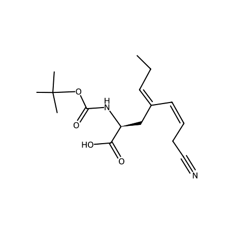 CC/C=C(\C=C/CC#N)C[C@H](NC(=O)OC(C)(C)C)C(=O)O